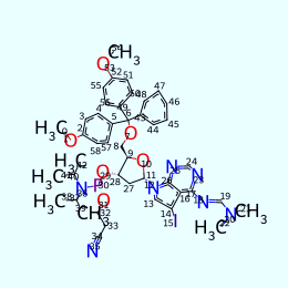 COc1ccc(C(OC[C@H]2O[C@H](n3cc(I)c4c(N=CN(C)C)ncnc43)C[C@@H]2OP(OCCC#N)N(C(C)C)C(C)C)(c2ccccc2)c2ccc(OC)cc2)cc1